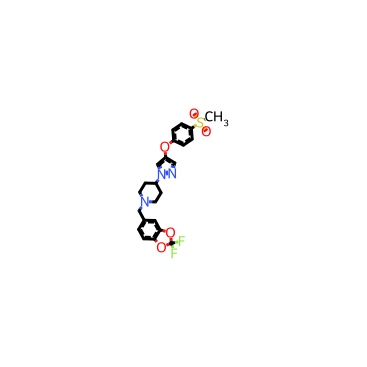 CS(=O)(=O)c1ccc(Oc2cnn(C3CCN(Cc4ccc5c(c4)OC(F)(F)O5)CC3)c2)cc1